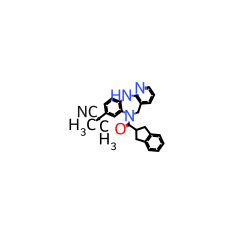 CC(C)(C#N)c1ccc2c(c1)N(C(=O)C1Cc3ccccc3C1)Cc1cccnc1N2